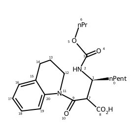 CCCCC[C@H](NC(=O)OCCC)C(C(=O)O)C(=O)N1CCCc2ccccc21